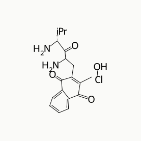 CC1=C(CC(N)C(=O)[C@H](N)C(C)C)C(=O)c2ccccc2C1=O.OCl